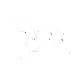 COc1cc2c(CC(=O)O)c(C)n(Cc3ccc(OC(F)(F)F)cc3)c2cc1F